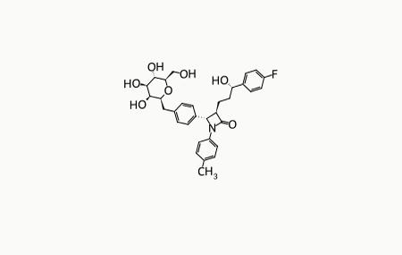 Cc1ccc(N2C(=O)[C@H](CC[C@H](O)c3ccc(F)cc3)[C@H]2c2ccc(C[C@@H]3O[C@H](CO)[C@@H](O)[C@H](O)[C@@H]3O)cc2)cc1